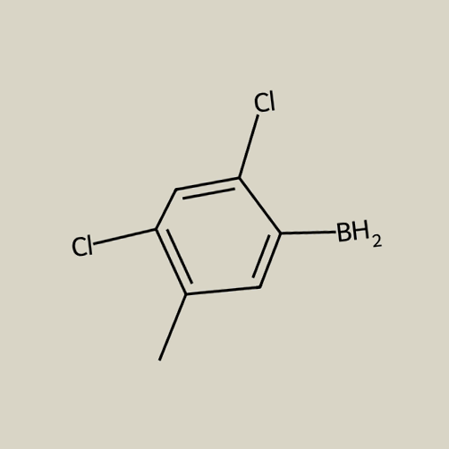 Bc1cc(C)c(Cl)cc1Cl